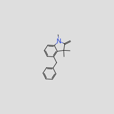 C=C1N(C)c2cccc(Cc3ccccc3)c2C1(C)C